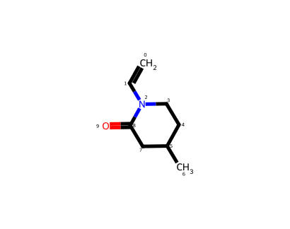 C=CN1CCC(C)CC1=O